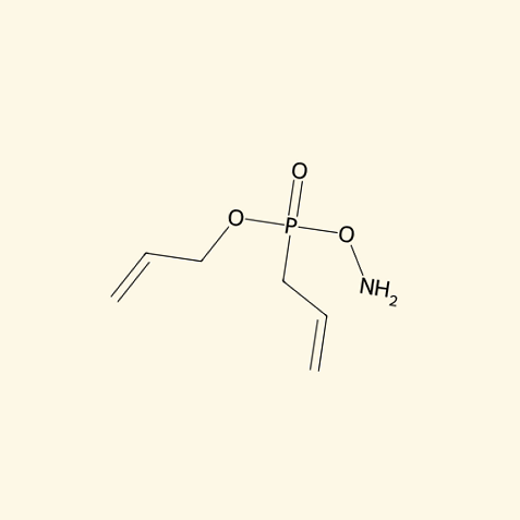 C=CCOP(=O)(CC=C)ON